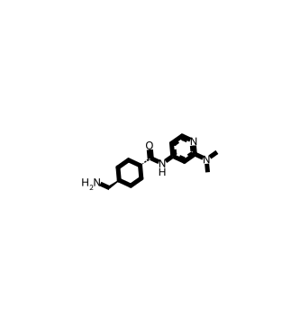 CN(C)c1cc(NC(=O)[C@H]2CC[C@H](CN)CC2)ccn1